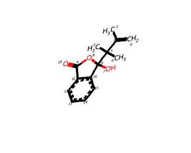 C=C(C)C(C)(C)C1(O)OC(=O)c2ccccc21